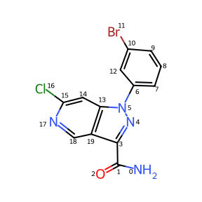 NC(=O)c1nn(-c2cccc(Br)c2)c2cc(Cl)ncc12